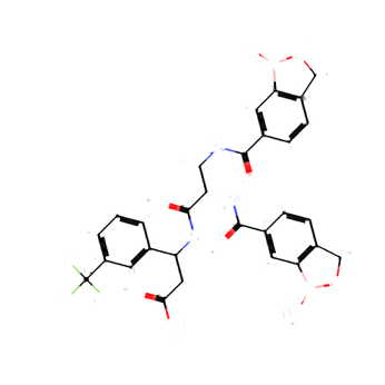 C[C@H](NC(=O)c1ccc2c(c1)B(O)OC2)[C@H](NC(=O)c1ccc2c(c1)B(O)OC2)C(=O)NC(CC(=O)O)c1cccc(C(F)(F)F)c1